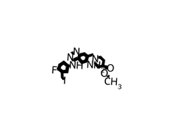 CCOC(=O)C1CCN(Cc2cc3ncnc(Nc4ccc(F)c(CI)c4)c3cc2N)CC1